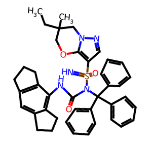 CCC1(C)COc2c(S(=N)(=O)N(C(=O)Nc3c4c(cc5c3CCC5)CCC4)C(c3ccccc3)(c3ccccc3)c3ccccc3)cnn2C1